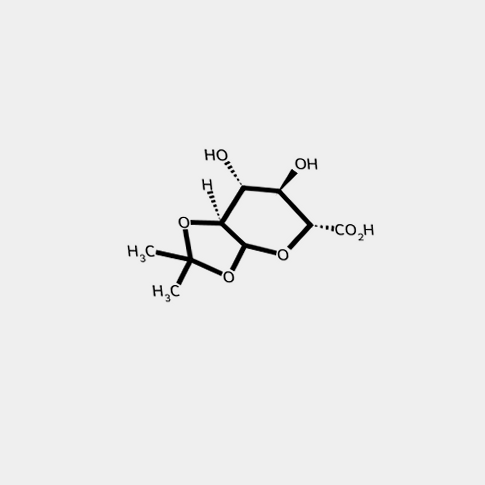 CC1(C)OC2O[C@@H](C(=O)O)[C@H](O)[C@@H](O)[C@@H]2O1